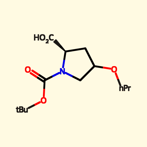 CCCOC1C[C@H](C(=O)O)N(C(=O)OC(C)(C)C)C1